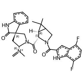 C=[N+](C)[C@@H]1C[C@@]2(CN1C(=O)[C@@H]1[C@@H]3C(CN1C(=O)c1cc4c(F)ccc(F)c4[nH]1)C3(C)C)C(=O)Nc1ccccc12